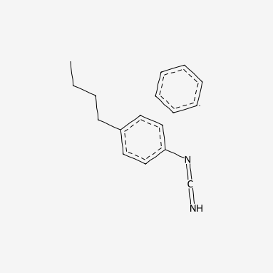 CCCCc1ccc(N=C=N)cc1.[c]1ccccc1